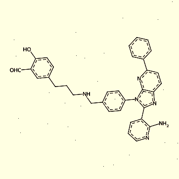 Nc1ncccc1-c1nc2ccc(-c3ccccc3)nc2n1-c1ccc(CNCCCc2ccc(O)c(C=O)c2)cc1